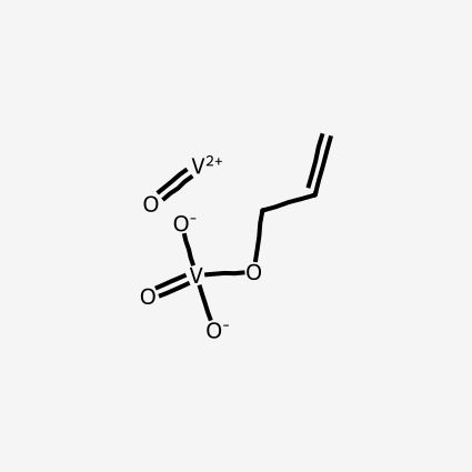 C=CC[O][V](=[O])([O-])[O-].[O]=[V+2]